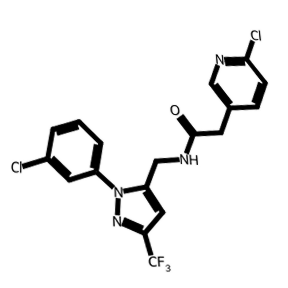 O=C(Cc1ccc(Cl)nc1)NCc1cc(C(F)(F)F)nn1-c1cccc(Cl)c1